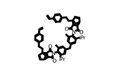 C=Cc1ccc(CCC23C=CC(C2)C2C(=O)N(c4c(C)cc(Cc5cc(C)c(N6C(=O)C7C8C=CC(CCc9ccc(C=C)cc9)(C8)C7C6=O)c(C(C)C)c5)cc4C(C)C)C(=O)C23)cc1